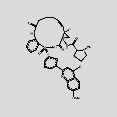 COc1ccc2c(O[C@@H]3C[C@@H](C(=O)N[C@]45C[C@H]4/C=C\CCCC(=O)Nc4ccccc4S(=O)(=O)NC5=O)N(C(C)=O)C3)cc(-c3ccccc3)nc2c1